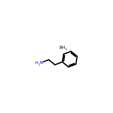 B.NCCc1ccccc1